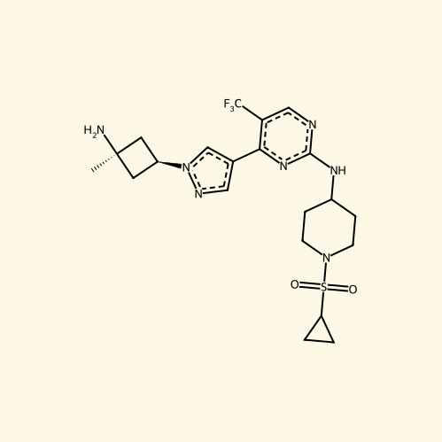 C[C@]1(N)C[C@@H](n2cc(-c3nc(NC4CCN(S(=O)(=O)C5CC5)CC4)ncc3C(F)(F)F)cn2)C1